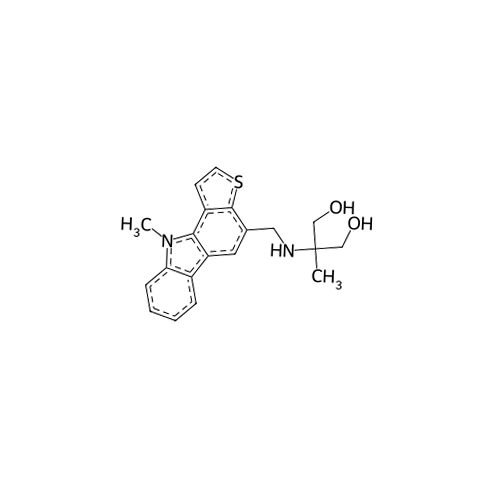 Cn1c2ccccc2c2cc(CNC(C)(CO)CO)c3sccc3c21